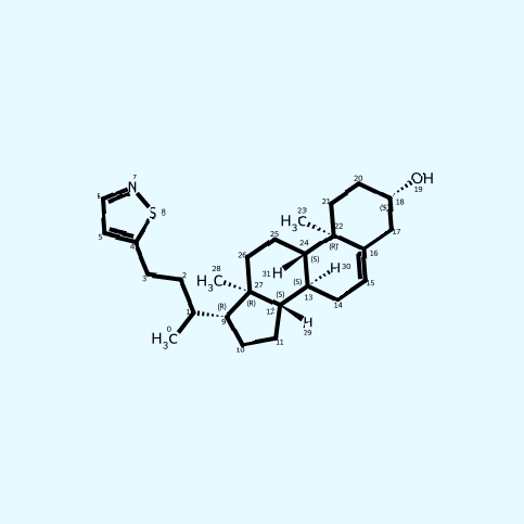 CC(CCc1ccns1)[C@H]1CC[C@H]2[C@@H]3CC=C4C[C@@H](O)CC[C@]4(C)[C@H]3CC[C@]12C